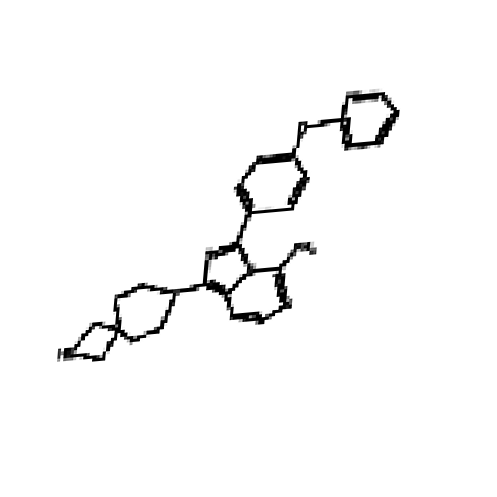 Nc1nccc2c(C3CCC4(CC3)CNC4)nc(-c3ccc(Oc4ccccc4)cc3)n12